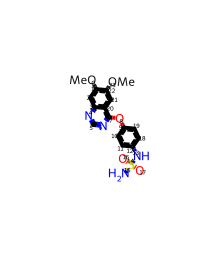 COc1cc2ncnc(Oc3ccc(NS(N)(=O)=O)cc3)c2cc1OC